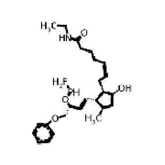 CCNC(=O)CCC/C=C\C[C@@H]1[C@@H](/C=C/[C@H](COc2ccccc2)OPP)[C@H](C)C[C@@H]1O